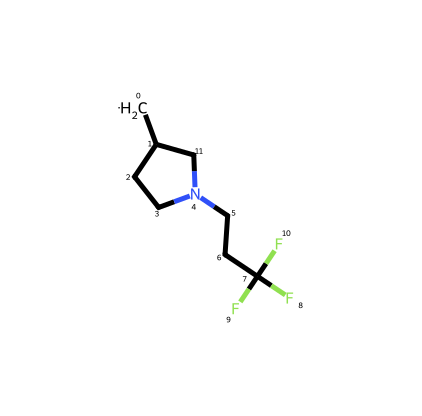 [CH2]C1CCN(CCC(F)(F)F)C1